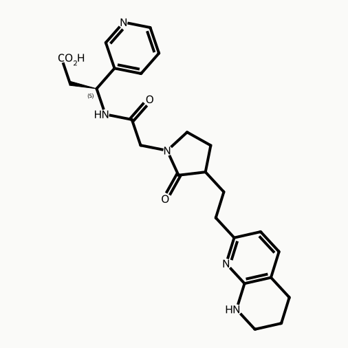 O=C(O)C[C@H](NC(=O)CN1CCC(CCc2ccc3c(n2)NCCC3)C1=O)c1cccnc1